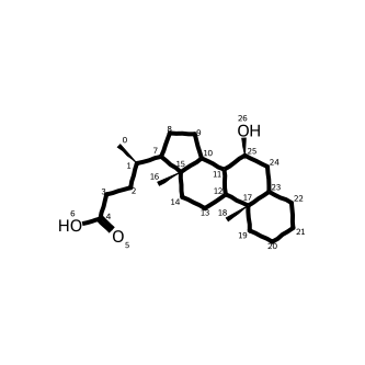 C[C@H](CCC(=O)O)C1CCC2C3C(CC[C@@]21C)[C@@]1(C)CCCCC1C[C@@H]3O